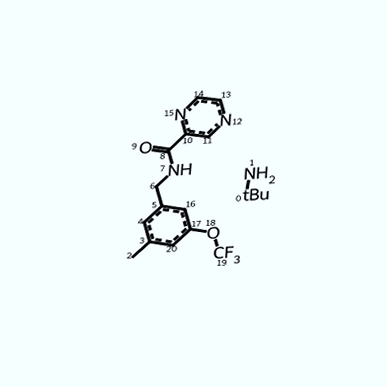 CC(C)(C)N.Cc1cc(CNC(=O)c2cnccn2)cc(OC(F)(F)F)c1